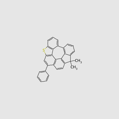 CC1(C)c2cccc3c2-c2c1ccc1c(-c4ccccc4)cc4sc5cccc-3c5c4c21